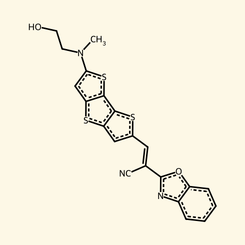 CN(CCO)c1cc2sc3cc(/C=C(\C#N)c4nc5ccccc5o4)sc3c2s1